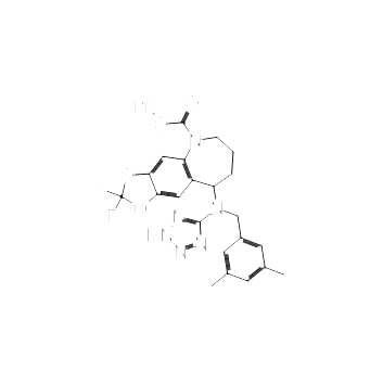 Cc1cc(C)cc(CN(c2nn[nH]n2)C2CCCN(C(=O)OC(C)C)c3cc4c(cc32)OC(F)(F)O4)c1